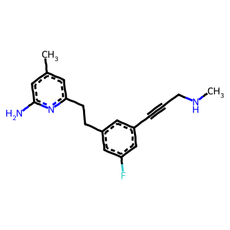 CNCC#Cc1cc(F)cc(CCc2cc(C)cc(N)n2)c1